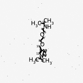 CC(C)NCCOCCOCc1cn(C(C)C)nn1